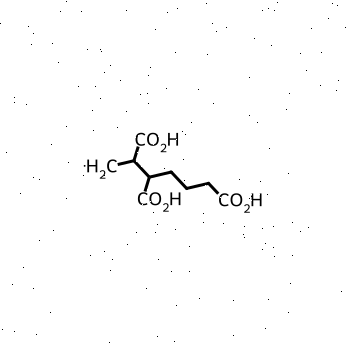 [CH2]C(C(=O)O)C(CCCC(=O)O)C(=O)O